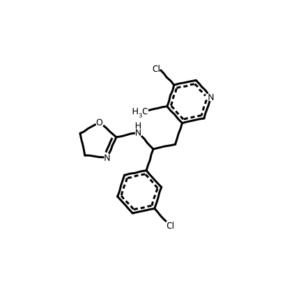 Cc1c(Cl)cncc1CC(NC1=NCCO1)c1cccc(Cl)c1